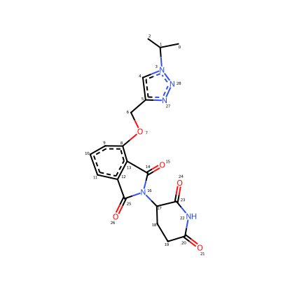 CC(C)n1cc(COc2cccc3c2C(=O)N(C2CCC(=O)NC2=O)C3=O)nn1